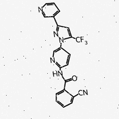 N#Cc1ccccc1C(=O)Nc1ccc(-n2nc(-c3cccnc3)cc2C(F)(F)F)cn1